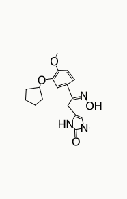 COc1ccc(C(CC2=C[N]C(=O)N2)=NO)cc1OC1CCCC1